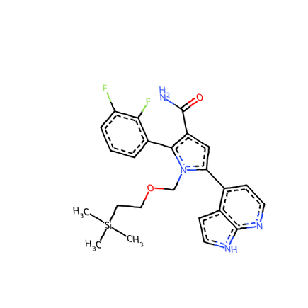 C[Si](C)(C)CCOCn1c(-c2ccnc3[nH]ccc23)cc(C(N)=O)c1-c1cccc(F)c1F